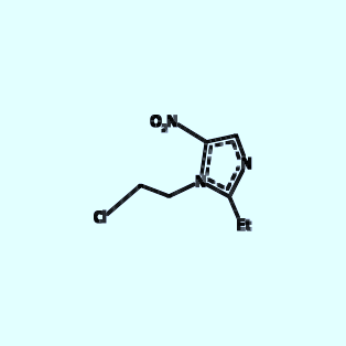 CCc1ncc([N+](=O)[O-])n1CCCl